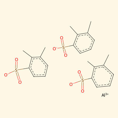 Cc1cccc(S(=O)(=O)[O-])c1C.Cc1cccc(S(=O)(=O)[O-])c1C.Cc1cccc(S(=O)(=O)[O-])c1C.[Al+3]